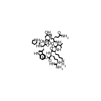 CC(C)[C@H](NC(=O)[C@H](CCC(N)=O)NC(=O)[C@H](CC(=O)O)NC(=O)[C@H](Cc1c[nH]c2ccccc12)NC(=O)[C@@H]1CCCN1)C(=O)N[C@@H](CCCCN)C(=O)N[C@@H](CCCNC(=N)N)C(=O)O